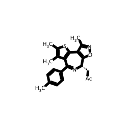 CC(=O)C[C@@H]1N=C(c2ccc(C)cc2)c2c(sc(C)c2C)-c2c(C)noc21